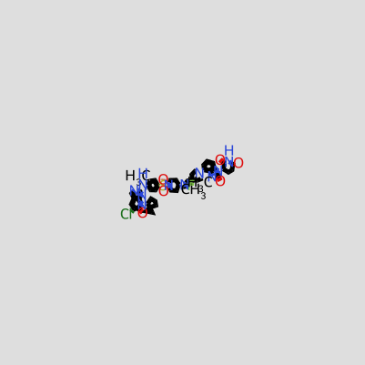 Cc1cc(S(=O)(=O)N2CCC(N(C)CC3(F)CCN(c4cccc5c4n(C)c(=O)n5C4CCC(=O)NC4=O)CC3)CC2)ccc1Nc1ncc2cc(Cl)c(=O)n(C3CCCC34CC4)c2n1